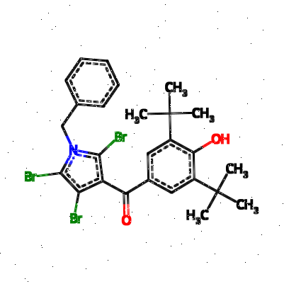 CC(C)(C)c1cc(C(=O)c2c(Br)c(Br)n(Cc3ccccc3)c2Br)cc(C(C)(C)C)c1O